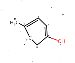 CC1=CC=C(O)CC1